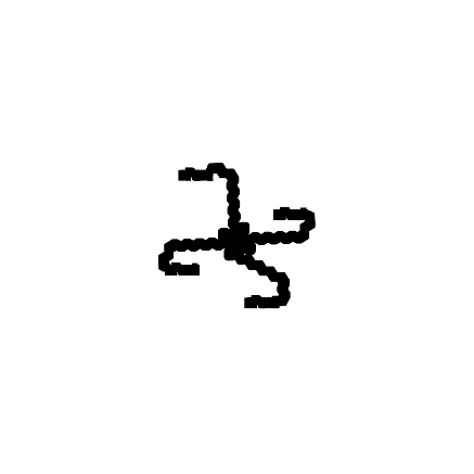 CCCCC/C=C\C/C=C\CCCCCCCC(=O)[O][Zr]([O]C(=O)CCCCCCC/C=C\C/C=C\CCCCC)([O]C(=O)CCCCCCC/C=C\C/C=C\CCCCC)[O]C(=O)CCCCCCC/C=C\C/C=C\CCCCC